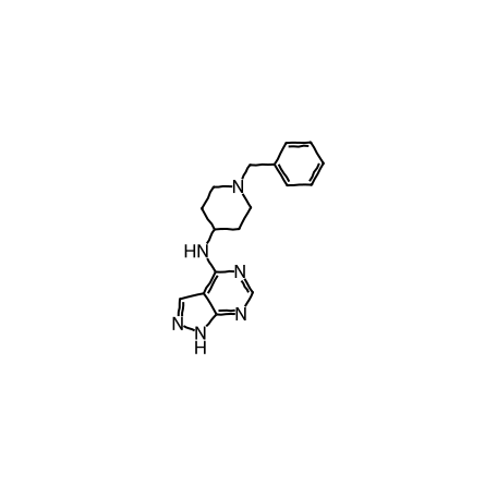 c1ccc(CN2CCC(Nc3ncnc4[nH]ncc34)CC2)cc1